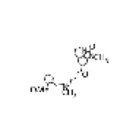 COc1ccccc1CCN(C)CCCCC(=O)c1cc2c3c(c1)n(C)c(=O)n3CCC2